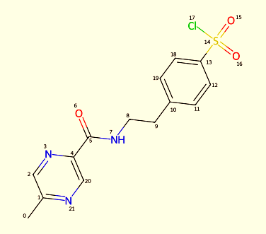 Cc1cnc(C(=O)NCCc2ccc(S(=O)(=O)Cl)cc2)cn1